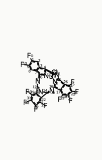 Fc1cc2c3n4/c(c2cc1F)=N\C1=NC(=N\c2c5c(F)c(F)c(F)c(F)c5c(n2B4Cl)N=3)/c2c(F)c(F)c(F)c(F)c21